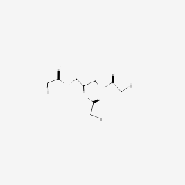 CC(C)CC(=O)OCC(COC(=O)CC(C)C)OC(=O)CC(C)C